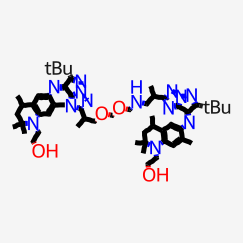 Cc1cc2c(cc1/N=C1/C(C(C)(C)C)=Nn3nc(C(C)CNCOCOCC(C)c4nc5n(n4)N=C(C(C)(C)C)/C5=N/c4cc5c(cc4C)N(CCO)C(C)(C)CC5C)nc31)C(C)CC(C)(C)N2CCO